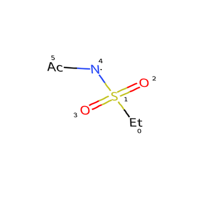 CCS(=O)(=O)[N]C(C)=O